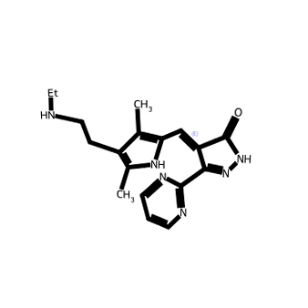 CCNCCc1c(C)[nH]c(/C=C2/C(=O)NN=C2c2ncccn2)c1C